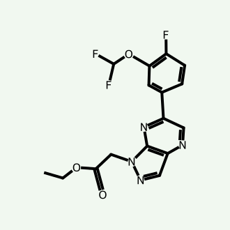 CCOC(=O)Cn1ncc2ncc(-c3ccc(F)c(OC(F)F)c3)nc21